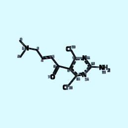 CN(C)C/C=C/C(=O)c1c(Cl)nc(N)nc1Cl